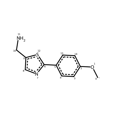 [CH2]Oc1ccc(-c2ncc(CN)s2)cc1